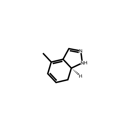 CC1=C2C=NN[C@H]2CC=C1